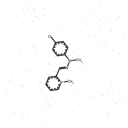 CN(N=Cc1cccc[n+]1C)c1ccc(Cl)cc1